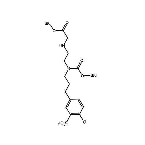 CC(C)(C)OC(=O)CNCCN(CCCc1ccc(Cl)c(C(=O)O)c1)C(=O)OC(C)(C)C